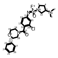 CN(C)C1CCN(S(=O)(F)=Nc2ccc(C(=O)N3CCO[C@@H](c4ccccc4)C3)c(Cl)c2)C1